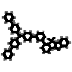 CC1(C)c2c(-c3cccc(-c4ccc(N(c5ccc(-c6ccccc6)cc5)c5ccc(-c6ccccc6)cc5)cc4)c3)cccc2-c2oc3ccccc3c21